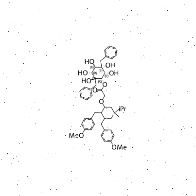 COc1ccc(CC2CC(C)(C(C)C)CC(OCC(=O)O[C@H]3[C@@H](O)[C@](O)(Cc4ccccc4)[C@H](O)[C@@H](O)[C@@]3(O)Cc3ccccc3)C2Cc2ccc(OC)cc2)cc1